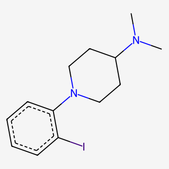 CN(C)C1CCN(c2ccccc2I)CC1